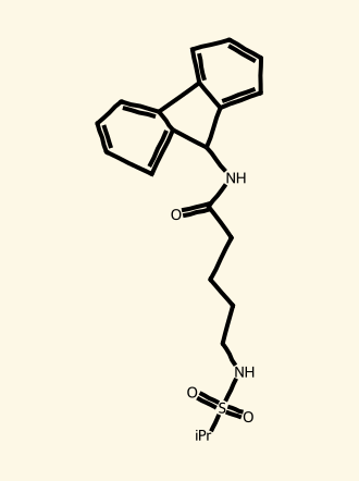 CC(C)S(=O)(=O)NCCCCC(=O)NC1c2ccccc2-c2ccccc21